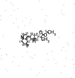 C=C(C(=O)OCC)[C@@H]1CC2C[C@H](c3ccnc4ccc(F)cc34)C[C@@H]2C1